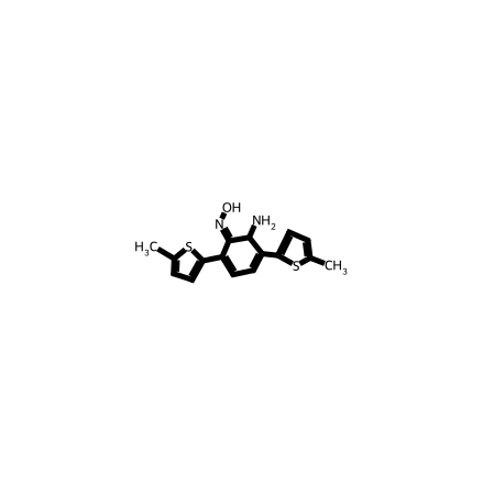 Cc1ccc(C2=CC=C(c3ccc(C)s3)C(N)/C2=N\O)s1